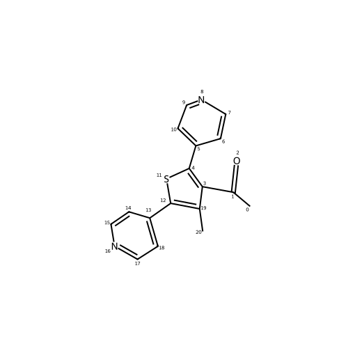 CC(=O)c1c(-c2ccncc2)sc(-c2ccncc2)c1C